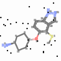 CSc1c(O[C@H]2CC[C@H](N)CC2)ccc2[nH]ncc12